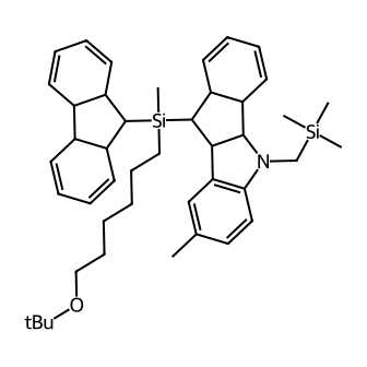 Cc1ccc2c(c1)C1C(C3C=CC=CC3C1[Si](C)(CCCCCCOC(C)(C)C)C1C3C=CC=CC3C3C=CC=CC31)N2C[Si](C)(C)C